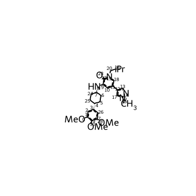 COc1cc([C@H]2CC[C@@H](Nc3cc(-c4cnn(C)c4)cn(CC(C)C)c3=O)CC2)cc(OC)c1OC